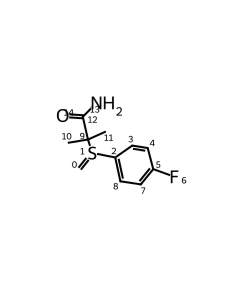 C=S(c1ccc(F)cc1)C(C)(C)C(N)=O